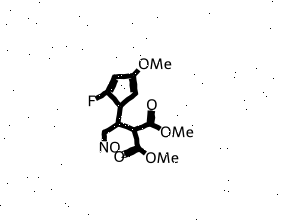 COC(=O)C(C(=O)OC)C(C[N+](=O)[O-])C1C=C(OC)C=C1F